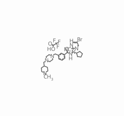 CN1CCC(CN2CCN(Cc3cccc(C(=O)NN(C4CCCC4)C4(C#N)N=CC(Br)=CN4)c3)CC2)CC1.O=C(O)C(F)(F)F